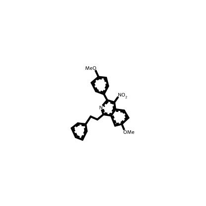 COc1ccc(-c2nc(CCc3ccccc3)c3cc(OC)ccc3c2[N+](=O)[O-])cc1